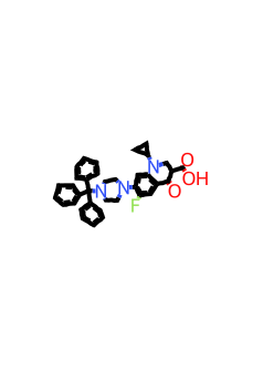 O=C(O)C1CN(C2CC2)c2cc(N3CCN(C(c4ccccc4)(c4ccccc4)c4ccccc4)CC3)c(F)cc2C1=O